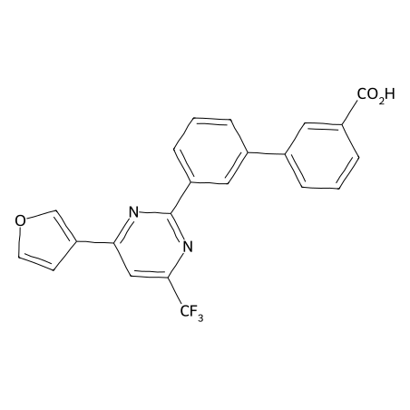 O=C(O)c1cccc(-c2cccc(-c3nc(-c4ccoc4)cc(C(F)(F)F)n3)c2)c1